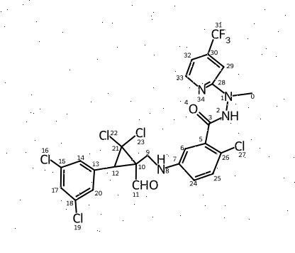 CN(NC(=O)c1cc(NCC2(C=O)C(c3cc(Cl)cc(Cl)c3)C2(Cl)Cl)ccc1Cl)c1cc(C(F)(F)F)ccn1